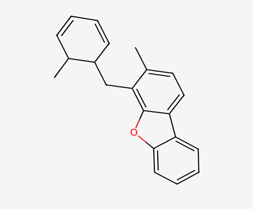 Cc1ccc2c(oc3ccccc32)c1CC1C=CC=CC1C